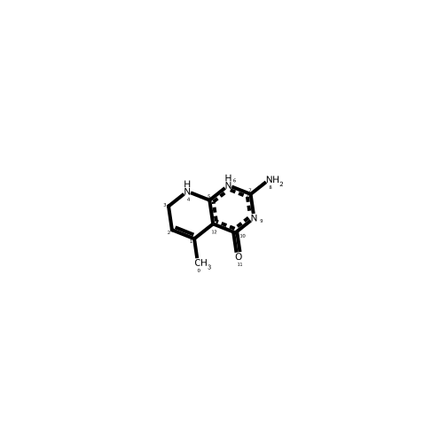 CC1=CCNc2[nH]c(N)nc(=O)c21